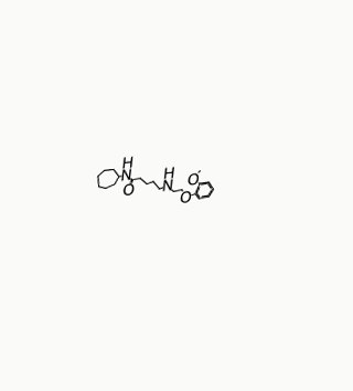 COc1ccccc1OCCNCCCCC(=O)NC1CCCCCC1